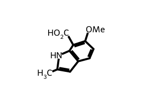 COc1ccc2cc(C)[nH]c2c1C(=O)O